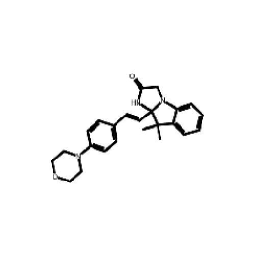 CC1(C)c2ccccc2N2CC(=O)NC21/C=C/c1ccc(N2CCOCC2)cc1